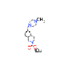 CN1CCN(Cc2ccc3c(c2)CCN(C(=O)OC(C)(C)C)C3)CC1